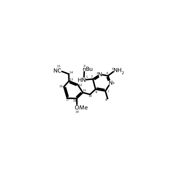 CCCCNc1nc(N)nc(C)c1Cc1cc(CC#N)ccc1OC